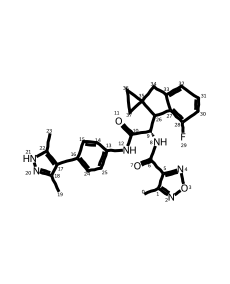 Cc1nonc1C(=O)N[C@H](C(=O)Nc1ccc(-c2c(C)n[nH]c2C)cc1)C1c2c(F)cccc2CC12CC2